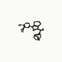 O=C(c1nn(-c2ccc(Cl)c(Cl)c2)c2c1CCC2)N1CCN2CCC1CC2